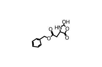 O=C(CC1NC(O)OC1=O)OCc1ccccc1